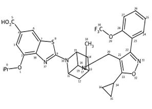 CC(C)Oc1cc(C(=O)O)cc2sc(N3C4CC5CC3C4C(C)N5Cc3c(-c4ccccc4OC(F)(F)F)noc3C3CC3)nc12